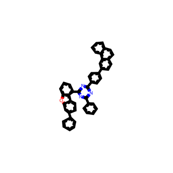 c1ccc(-c2ccc3c(c2)oc2cccc(-c4nc(-c5ccccc5)nc(-c5ccc(-c6ccc7ccc8ccccc8c7c6)cc5)n4)c23)cc1